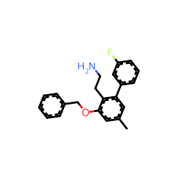 Cc1cc(OCc2ccccc2)c(CCN)c(-c2cccc(F)c2)c1